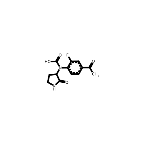 CC(=O)c1ccc(N(C(=O)O)C2CCNC2=O)c(F)c1